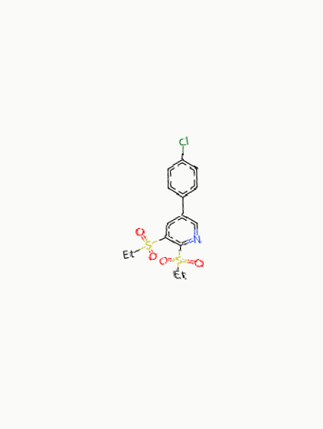 CCS(=O)(=O)c1cc(-c2ccc(Cl)cc2)cnc1S(=O)(=O)CC